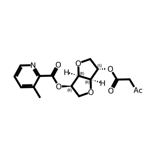 CC(=O)CC(=O)O[C@H]1CO[C@H]2[C@@H]1OC[C@H]2OC(=O)c1ncccc1C